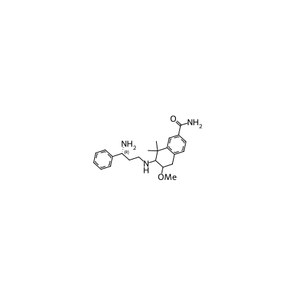 COC1Cc2ccc(C(N)=O)cc2C(C)(C)C1NCC[C@@H](N)c1ccccc1